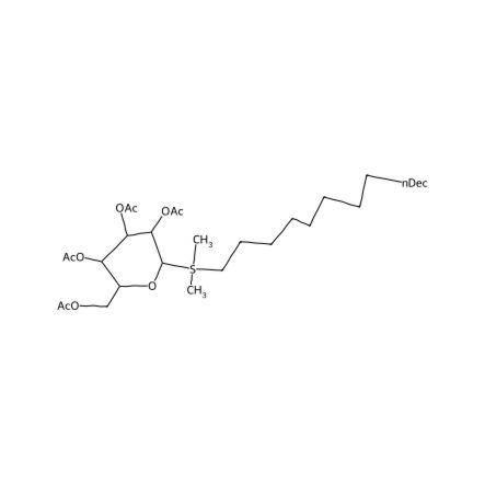 CCCCCCCCCCCCCCCCCCS(C)(C)C1OC(COC(C)=O)C(OC(C)=O)C(OC(C)=O)C1OC(C)=O